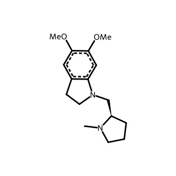 COc1cc2c(cc1OC)N(C[C@H]1CCCN1C)CC2